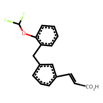 O=C(O)C=Cc1cccc(Cc2ccccc2OC(F)F)c1